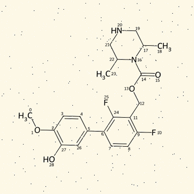 COc1ccc(-c2ccc(F)c(COC(=O)N3C(C)CNCC3C)c2F)cc1O